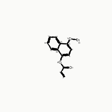 C=CC(=O)Oc1ccc(OCC)c2ccccc12